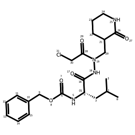 CC(C)C[C@H](NC(=O)OCc1ccccc1)C(=O)NN(CC1CCCNC1=O)C(=O)CCl